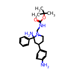 CC(C)(C)OC(=O)NCN1CCC(c2ccc(N)cc2)CC1(N)c1ccccc1